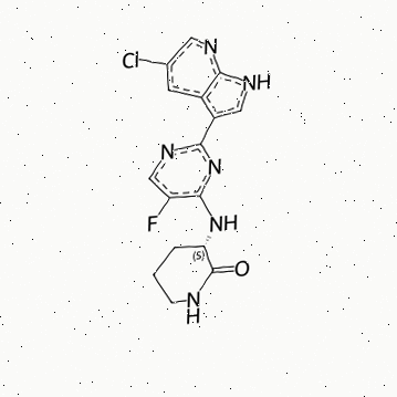 O=C1NCCC[C@@H]1Nc1nc(-c2c[nH]c3ncc(Cl)cc23)ncc1F